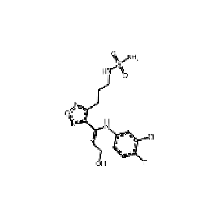 NS(=O)(=O)NCCCc1nonc1/C(=N/CO)Nc1ccc(F)c(Cl)c1